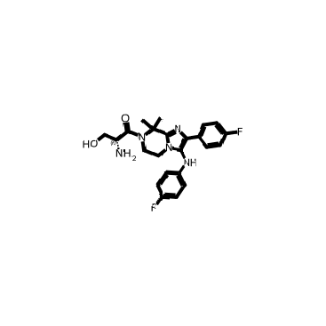 CC1(C)c2nc(-c3ccc(F)cc3)c(Nc3ccc(F)cc3)n2CCN1C(=O)[C@H](N)CO